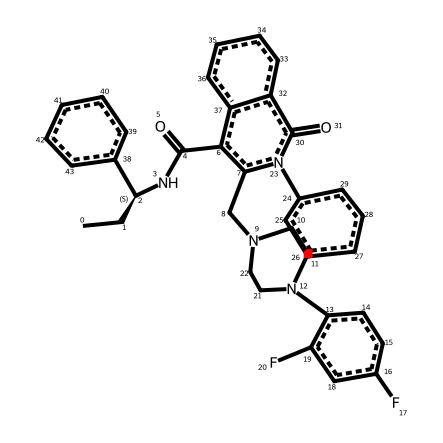 CC[C@H](NC(=O)c1c(CN2CCN(c3ccc(F)cc3F)CC2)n(-c2ccccc2)c(=O)c2ccccc12)c1ccccc1